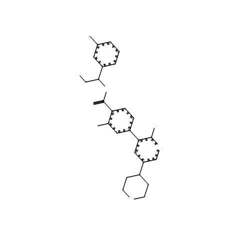 Nc1ncc(C2CCSCC2)cc1-c1ccc(C(=O)NC(CO)c2cccc(Cl)c2)c(F)c1